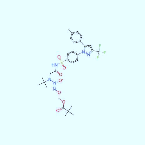 Cc1ccc(-c2cc(C(F)(F)F)nn2-c2ccc(S(=O)(=O)NC(=O)CN([N+]([O-])=NOCOC(=O)C(C)(C)C)C(C)(C)C)cc2)cc1